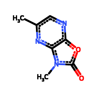 Cc1cnc2oc(=O)n(C)c2n1